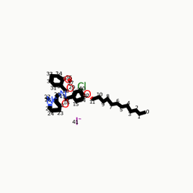 CCCCCCCCCCCCOc1ccc(C(=O)N(Cc2cccc[n+]2C)C(=O)c2ccccc2OC)cc1Cl.[I-]